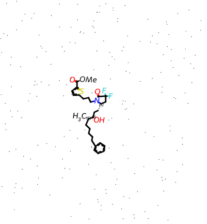 COC(=O)c1ccc(CCCN2C(=O)C(F)(F)C[C@@H]2CC[C@@H](O)[C@@H](C)CCCCCc2ccccc2)s1